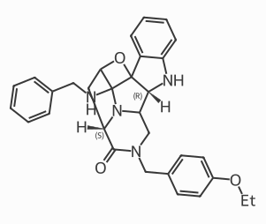 CCOc1ccc(CN2CC3[C@H]4Nc5ccccc5C45OC4C[C@@H](C2=O)N3C45NCc2ccccc2)cc1